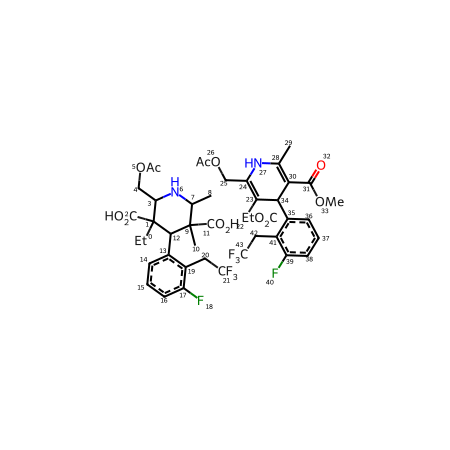 CCC1(C(=O)O)C(COC(C)=O)NC(C)C(C)(C(=O)O)C1c1cccc(F)c1CC(F)(F)F.CCOC(=O)C1=C(COC(C)=O)NC(C)=C(C(=O)OC)C1c1cccc(F)c1CC(F)(F)F